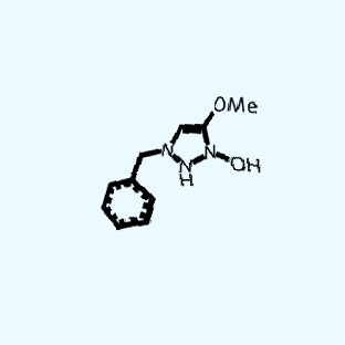 COC1=CN(Cc2ccccc2)NN1O